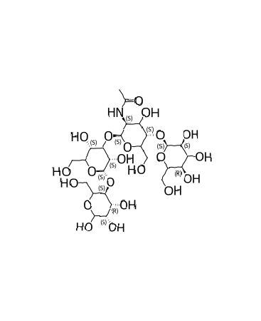 CC(=O)N[C@H]1C(O)[C@H](O[C@@H]2OC(CO)[C@H](O)C(O)[C@@H]2O)C(CO)O[C@H]1OC1[C@@H](O)C(CO)O[C@@H](O[C@@H]2C(CO)OC(O)[C@@H](O)[C@H]2O)[C@H]1O